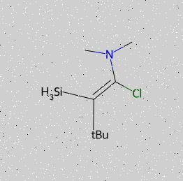 CN(C)C(Cl)=C([SiH3])C(C)(C)C